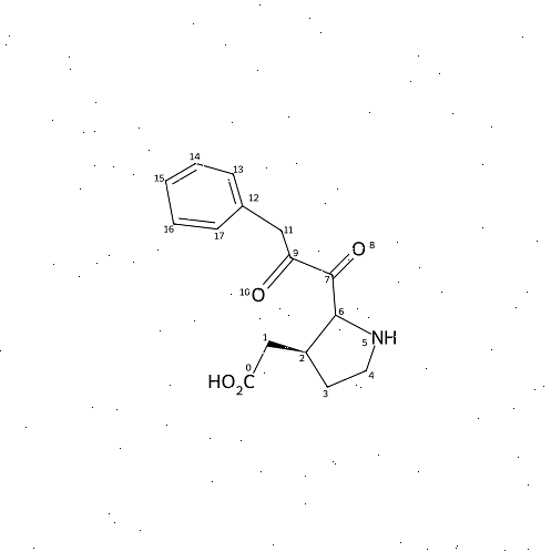 O=C(O)C[C@@H]1CCNC1C(=O)C(=O)Cc1ccccc1